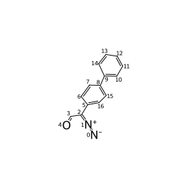 [N-]=[N+]=C(C=O)c1ccc(-c2ccccc2)cc1